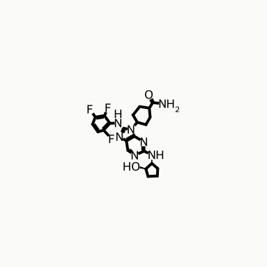 NC(=O)C1CCC(n2c(Nc3c(F)ccc(F)c3F)nc3cnc(N[C@@H]4CCC[C@H]4O)nc32)CC1